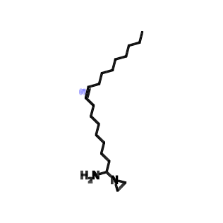 CCCCCCCC/C=C\CCCCCCCC(N)N1CC1